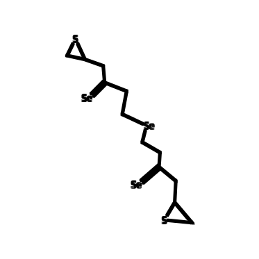 [Se]=C(CC[Se]CCC(=[Se])CC1CS1)CC1CS1